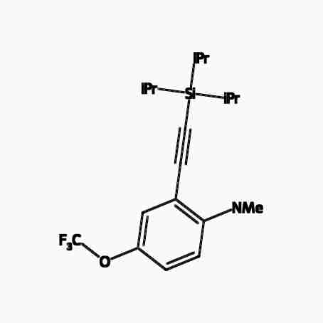 CNc1ccc(OC(F)(F)F)cc1C#C[Si](C(C)C)(C(C)C)C(C)C